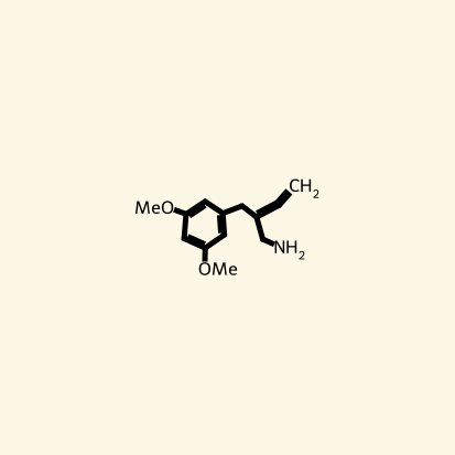 C=C=C(CN)Cc1cc(OC)cc(OC)c1